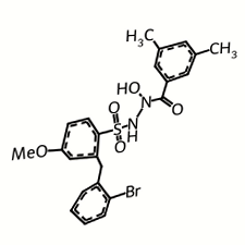 COc1ccc(S(=O)(=O)NN(O)C(=O)c2cc(C)cc(C)c2)c(Cc2ccccc2Br)c1